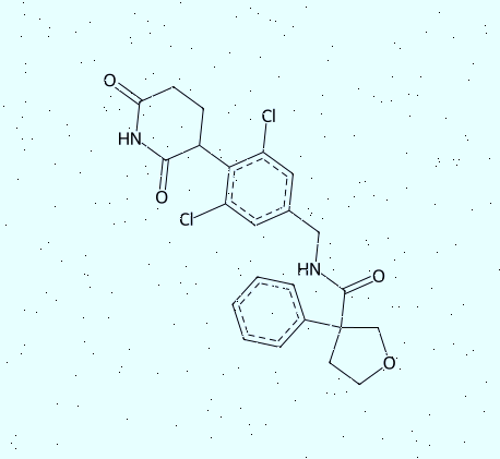 O=C1CCC(c2c(Cl)cc(CNC(=O)C3(c4ccccc4)CCOC3)cc2Cl)C(=O)N1